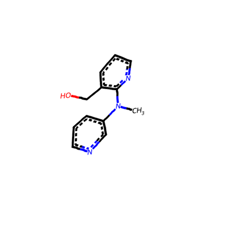 CN(c1cccnc1)c1ncccc1CO